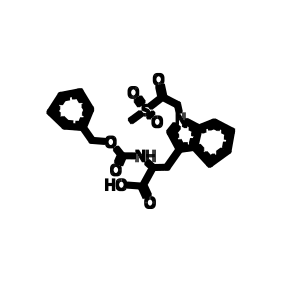 CS(=O)(=O)C(=O)Cn1cc(CC(NC(=O)OCc2ccccc2)C(=O)O)c2ccccc21